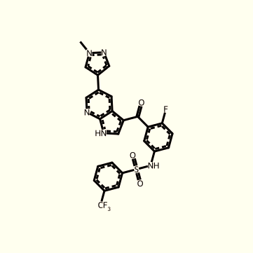 Cn1cc(-c2cnc3[nH]cc(C(=O)c4cc(NS(=O)(=O)c5cccc(C(F)(F)F)c5)ccc4F)c3c2)cn1